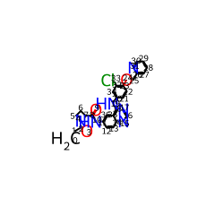 C=CC(=O)N1CCC1C(=O)Nc1ccc2ncnc(Nc3ccc(OCc4ccccn4)c(Cl)c3)c2c1